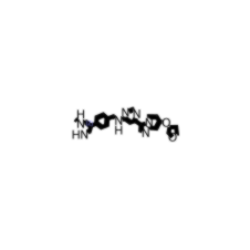 CN/C=C(\C=N)c1ccc(CNc2cc(-c3cnc4cc(OC5CCOC5)ccn34)ncn2)cc1